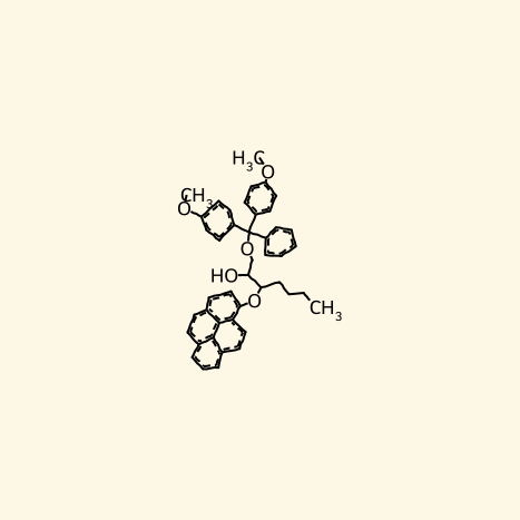 CCCCC(Oc1ccc2ccc3cccc4ccc1c2c34)C(O)COC(c1ccccc1)(c1ccc(OC)cc1)c1ccc(OC)cc1